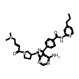 CCCc1ccnc(NC(=O)c2ccc(-c3nn(C4CCN(C(=O)C=CCN(C)C)C4)c4ncnc(N)c34)cc2)c1